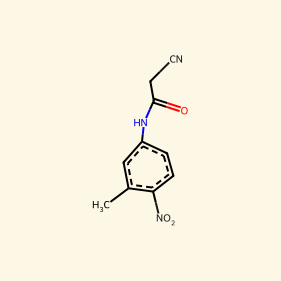 Cc1cc(NC(=O)CC#N)ccc1[N+](=O)[O-]